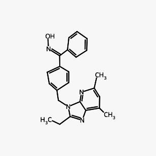 CCc1nc2c(C)cc(C)nc2n1Cc1ccc(C(=NO)c2ccccc2)cc1